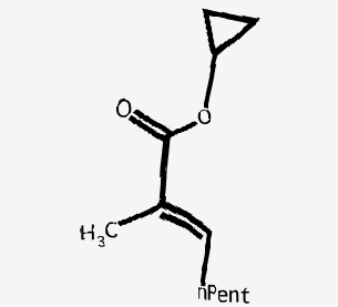 CCCCCC=C(C)C(=O)OC1CC1